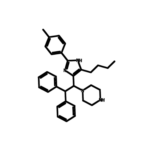 CCCCc1[nH]c(-c2ccc(C)cc2)nc1C(C(c1ccccc1)c1ccccc1)N1CCNCC1